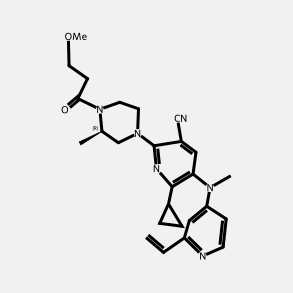 C=Cc1cc(N(C)c2cc(C#N)c(N3CCN(C(=O)CCOC)[C@H](C)C3)nc2C2CC2)ccn1